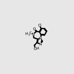 CN1Cc2c(CO)ncn2-c2cccc(Cl)c2C1=O